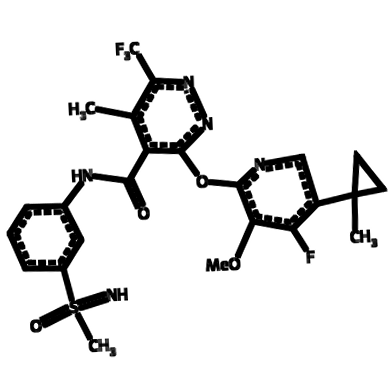 COc1c(Oc2nnc(C(F)(F)F)c(C)c2C(=O)Nc2cccc(S(C)(=N)=O)c2)ncc(C2(C)CC2)c1F